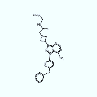 CCOC(=O)CNC(=O)CN1CC(n2nc(-c3ccc(Oc4ccccc4)cc3)c3c(N)ncnc32)C1